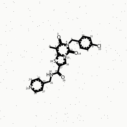 Cc1c(=O)n(Cc2ccc(Cl)cc2)c(=O)n2cc(C(=O)NCc3ccncc3)sc12